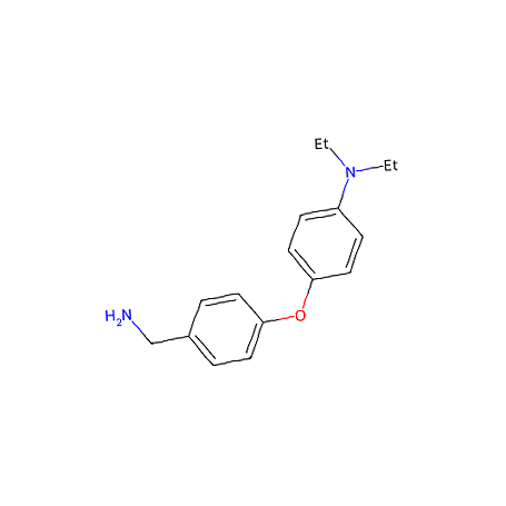 CCN(CC)c1ccc(Oc2ccc(CN)cc2)cc1